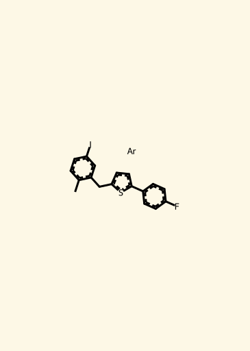 Cc1ccc(I)cc1Cc1ccc(-c2ccc(F)cc2)s1.[Ar]